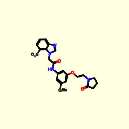 COc1cc(NC(=O)Cn2cnc3cccc([N+](=O)[O-])c32)cc(OCCN2CCCC2=O)c1